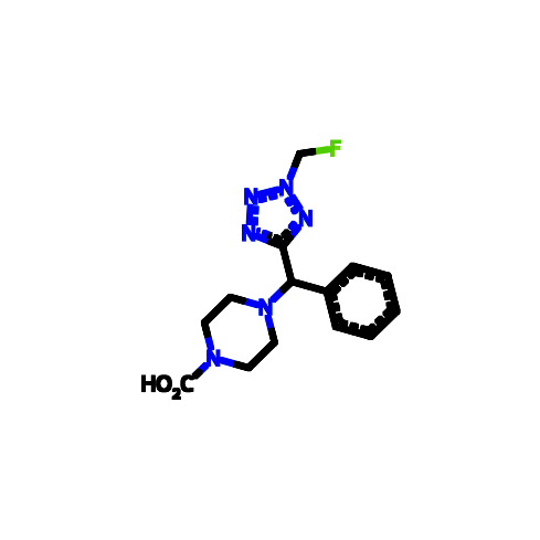 O=C(O)N1CCN(C(c2ccccc2)c2nnn(CF)n2)CC1